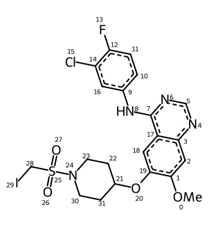 COc1cc2ncnc(Nc3ccc(F)c(Cl)c3)c2cc1OC1CCN(S(=O)(=O)CI)CC1